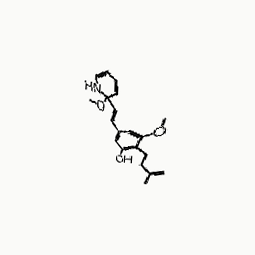 C=C(C)CCc1c(O)cc(C=CC2(OC)C=CC=CN2)cc1OC